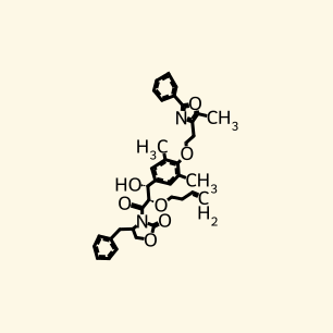 C=CCCO[C@H](C(=O)N1C(=O)OCC1Cc1ccccc1)[C@H](O)c1cc(C)c(OCCc2nc(-c3ccccc3)oc2C)c(C)c1